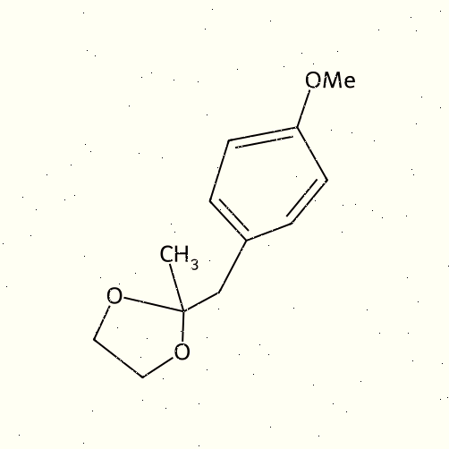 COc1ccc(CC2(C)OCCO2)cc1